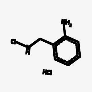 Cl.Nc1ccccc1CNCl